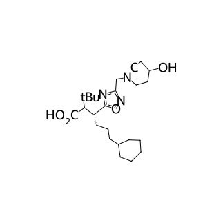 CC(C)(C)C(C(=O)O)[C@@H](CCCC1CCCCC1)c1nc(CN2CCC(O)CC2)no1